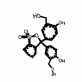 CC(C)OCc1cc(C2(c3ccc(O)c(CO)c3)OS(=O)(=O)c3ccccc32)ccc1O